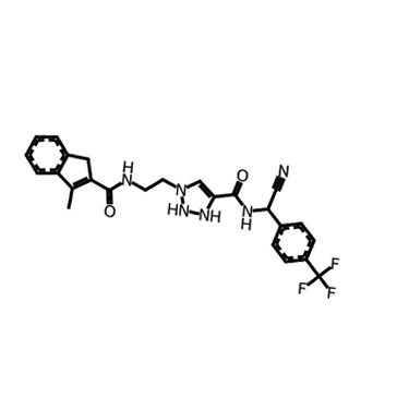 CC1=C(C(=O)NCCN2C=C(C(=O)NC(C#N)c3ccc(C(F)(F)F)cc3)NN2)Cc2ccccc21